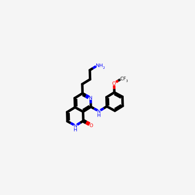 NCCCc1cc2cc[nH]c(=O)c2c(Nc2cccc(OC(F)(F)F)c2)n1